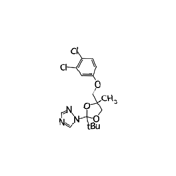 CC1(COc2ccc(Cl)c(Cl)c2)COC(n2cncn2)(C(C)(C)C)O1